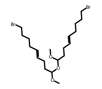 COC(CCC=CCCCCBr)OC(CCC=CCCCCBr)OC